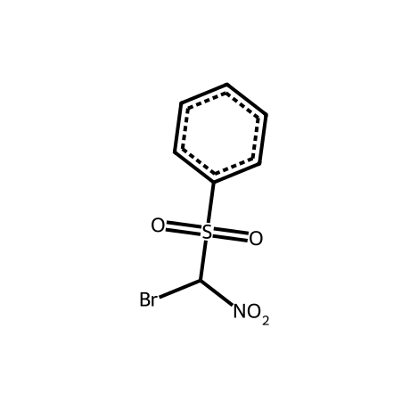 O=[N+]([O-])C(Br)S(=O)(=O)c1ccccc1